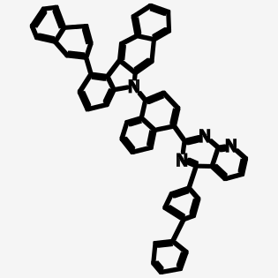 c1ccc(-c2ccc(-c3nc(-c4ccc(-n5c6cc7ccccc7cc6c6c(-c7ccc8ccccc8c7)cccc65)c5ccccc45)nc4ncccc34)cc2)cc1